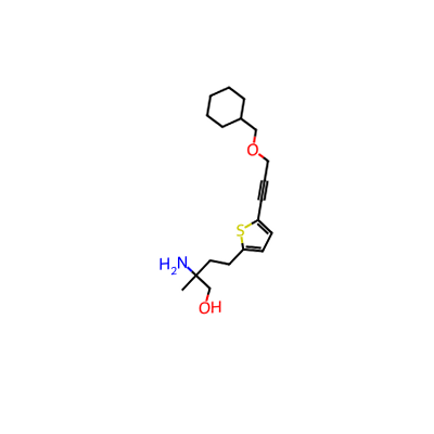 CC(N)(CO)CCc1ccc(C#CCOCC2CCCCC2)s1